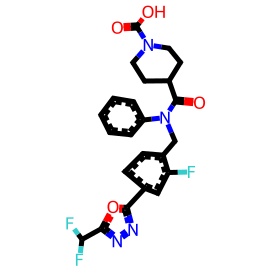 O=C(O)N1CCC(C(=O)N(Cc2ccc(-c3nnc(C(F)F)o3)cc2F)c2ccccc2)CC1